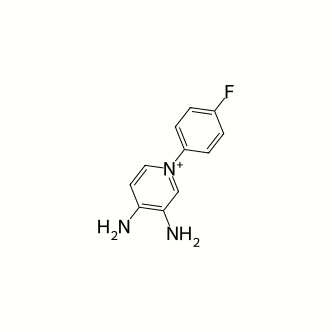 Nc1cc[n+](-c2ccc(F)cc2)cc1N